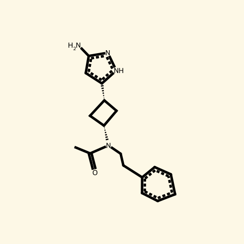 CC(=O)N(CCc1ccccc1)[C@H]1C[C@@H](c2cc(N)n[nH]2)C1